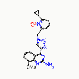 COc1cccc2c(-c3cn(Cc4cccc(C5CC5)[n+]4[O-])nn3)nc(N)nc12